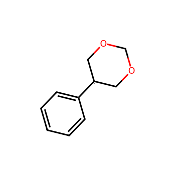 c1ccc([C]2COCOC2)cc1